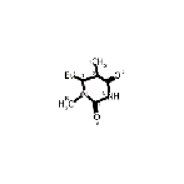 CCC1C(C)C(=O)NC(=O)N1C